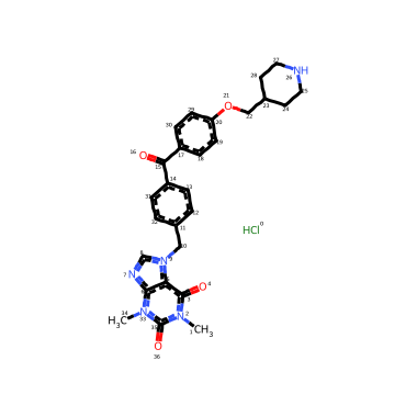 Cl.Cn1c(=O)c2c(ncn2Cc2ccc(C(=O)c3ccc(OCC4CCNCC4)cc3)cc2)n(C)c1=O